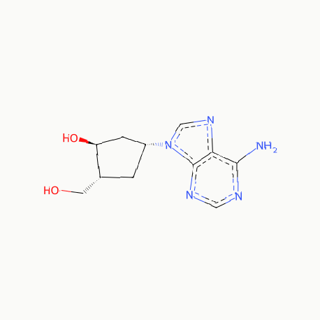 Nc1ncnc2c1ncn2[C@@H]1C[C@H](CO)[C@@H](O)C1